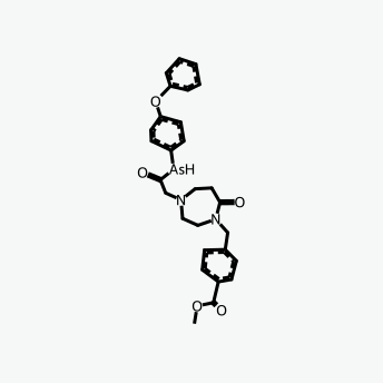 COC(=O)c1ccc(CN2CCN(CC(=O)[AsH]c3ccc(Oc4ccccc4)cc3)CCC2=O)cc1